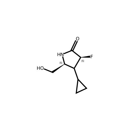 O=C1N[C@H](CO)C(C2CC2)[C@@H]1F